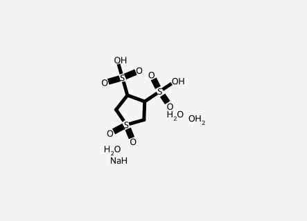 O.O.O.O=S1(=O)CC(S(=O)(=O)O)C(S(=O)(=O)O)C1.[NaH]